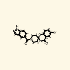 O=C1NC2(CCN(C(=O)c3ccc4[nH]ncc4c3)CC2)Oc2ccc(Br)cc21